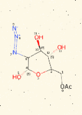 CC(=O)OCC1O[C@H](O)C(N=[N+]=[N-])[C@@H](O)[C@@H]1O